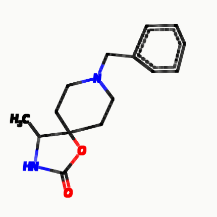 CC1NC(=O)OC12CCN(Cc1ccccc1)CC2